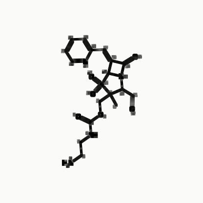 CC1(COC(=O)NCCN)C(C=O)N2C(=O)/C(=C/c3ccccn3)C2S1(=O)=O